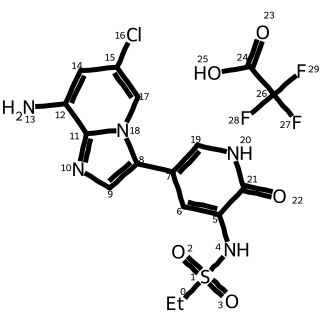 CCS(=O)(=O)Nc1cc(-c2cnc3c(N)cc(Cl)cn23)c[nH]c1=O.O=C(O)C(F)(F)F